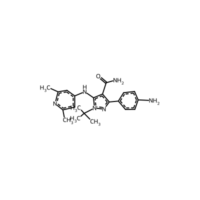 Cc1cc(Nc2c(C(N)=O)c(-c3ccc(N)cc3)nn2C(C)(C)C)cc(C)n1